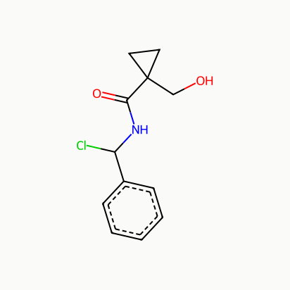 O=C(NC(Cl)c1ccccc1)C1(CO)CC1